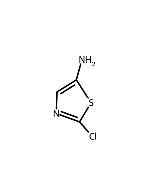 Nc1cnc(Cl)s1